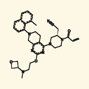 C=CC(=O)N1CCN(c2nc(OCCN(C)C3COC3)nc3c2CCN(c2cccc4cccc(C)c24)C3)C[C@@H]1CC#N